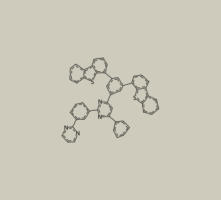 c1ccc(-c2cc(-c3cc(-c4cccc5c4sc4ccccc45)cc(-c4cccc5c4sc4ccccc45)c3)nc(-c3cccc(-c4ncccn4)c3)n2)cc1